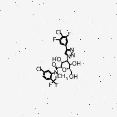 CN(C(=O)[C@@H]1O[C@H](CO)[C@H](O)[C@H](n2cc(-c3cc(F)c(Cl)c(F)c3)nn2)[C@H]1O)c1cc(Cl)ccc1C(F)(F)F